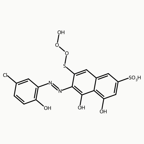 O=S(=O)(O)c1cc(O)c2c(O)c(N=Nc3cc(Cl)ccc3O)c(SOOO)cc2c1